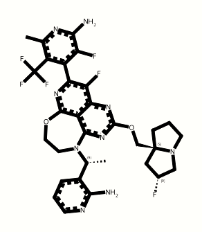 Cc1nc(N)c(F)c(-c2nc3c4c(nc(OC[C@@]56CCCN5C[C@H](F)C6)nc4c2F)N([C@H](C)c2cccnc2N)CCO3)c1C(F)(F)F